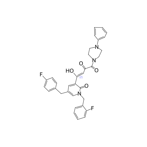 O=C(/C=C(\O)c1cc(Cc2ccc(F)cc2)cn(Cc2ccccc2F)c1=O)C(=O)N1CCN(c2ccccc2)CC1